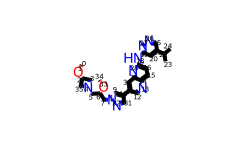 COC1CN(CC(Cn2cc(-c3cnc4ccc(Nc5cc(C(C)C)cnn5)nc4c3)cn2)OC)C1